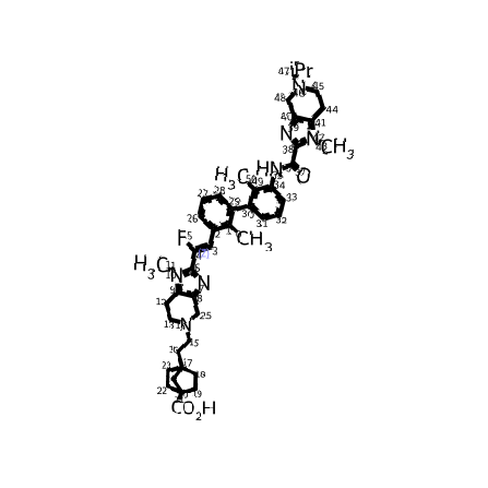 Cc1c(/C=C(\F)c2nc3c(n2C)CCN(CCC24CCC(C(=O)O)(CC2)C4)C3)cccc1-c1cccc(NC(=O)c2nc3c(n2C)CCN(C(C)C)C3)c1C